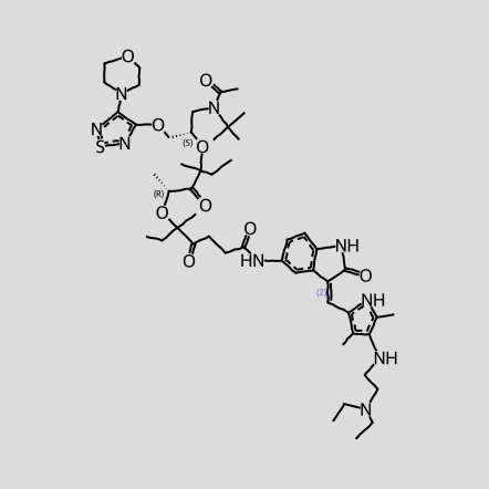 CCN(CC)CCNc1c(C)[nH]c(/C=C2\C(=O)Nc3ccc(NC(=O)CCC(=O)C(C)(CC)O[C@H](C)C(=O)C(C)(CC)O[C@H](COc4nsnc4N4CCOCC4)CN(C(C)=O)C(C)(C)C)cc32)c1C